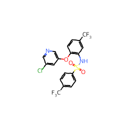 O=S(=O)(Nc1cc(C(F)(F)F)ccc1Oc1cncc(Cl)c1)c1ccc(C(F)(F)F)cc1